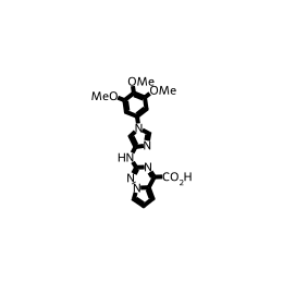 COc1cc(-n2cnc(Nc3nc(C(=O)O)c4cccn4n3)c2)cc(OC)c1OC